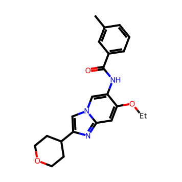 CCOc1cc2nc(C3CCOCC3)cn2cc1NC(=O)c1cccc(C)c1